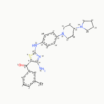 CCc1cccc(C(=O)c2sc(Nc3ccc(N4CCC(N5CCCC5)CC4)cc3)nc2N)c1